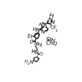 CCc1cc(Nc2nccn3c(-c4c[nH]nc4C(F)(F)F)cnc23)ccc1C(=O)NCCNC(=O)[C@@H]1CC[C@@H](N)C1.O=CO